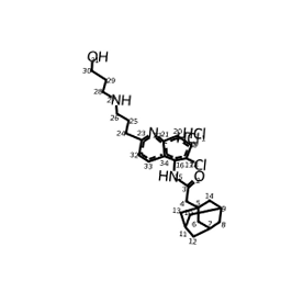 Cl.Cl.O=C(CC12CC3CC(CC(C3)C1)C2)Nc1c(Cl)ccc2nc(CCCNCCCO)ccc12